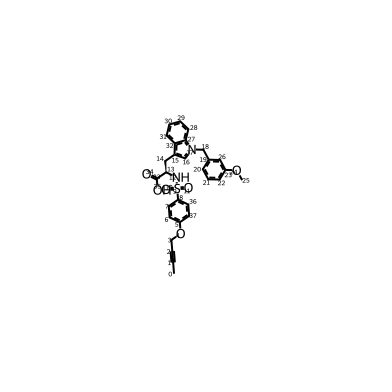 CC#CCOc1ccc(S(=O)(=O)N[C@H](Cc2cn(Cc3cccc(OC)c3)c3ccccc23)C(=O)O)cc1